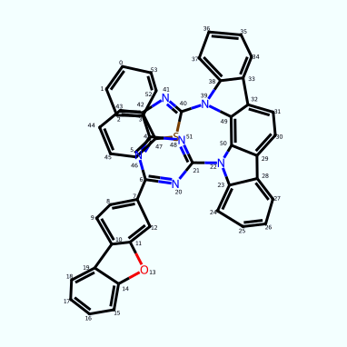 c1ccc(-c2nc(-c3ccc4c(c3)oc3ccccc34)nc(-n3c4ccccc4c4ccc5c6ccccc6n(-c6nc7ccccc7s6)c5c43)n2)cc1